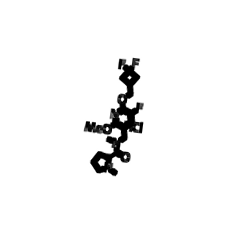 COc1nc(OCC2CC(F)(F)C2)c(F)cc1CN(C)C(=O)[C@@H]1CCCN1C.Cl